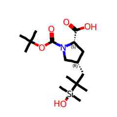 CC(C)(C)OC(=O)N1C[C@@H](CC(C)(C)[Si](C)(C)O)C[C@H]1C(=O)O